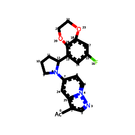 CC(=O)c1cnn2ccc(N3CCCC3c3cc(F)cc4c3OCCO4)cc12